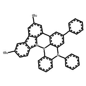 CC(C)(C)c1ccc2c(c1)c1cc(C(C)(C)C)cc3c1n2B1c2ccccc2N(c2ccccc2)c2cc(-c4ccccc4)cc-3c21